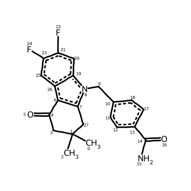 CC1(C)CC(=O)c2c(n(Cc3ccc(C(N)=O)cc3)c3cc(F)c(F)cc23)C1